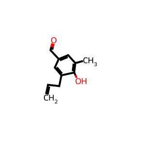 C=CCc1cc(C=O)cc(C)c1O